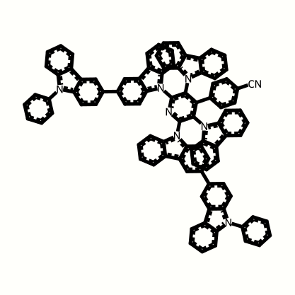 N#Cc1ccc(-c2c(-n3c4ccccc4c4ccccc43)c(-n3c4ccccc4c4cc(-c5ccc6c(c5)c5ccccc5n6-c5ccccc5)ccc43)nc(-n3c4ccccc4c4cc(-c5ccc6c(c5)c5ccccc5n6-c5ccccc5)ccc43)c2-n2c3ccccc3c3ccccc32)cc1